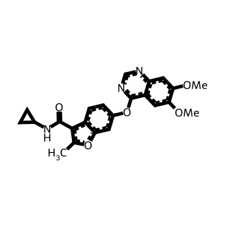 COc1cc2ncnc(Oc3ccc4c(C(=O)NC5CC5)c(C)oc4c3)c2cc1OC